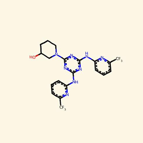 OC1CCCN(c2nc(Nc3cccc(C(F)(F)F)n3)nc(Nc3cccc(C(F)(F)F)n3)n2)C1